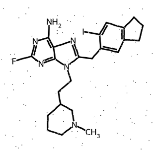 CN1CCCC(CCn2c(Cc3cc4c(cc3I)CCC4)nc3c(N)nc(F)nc32)C1